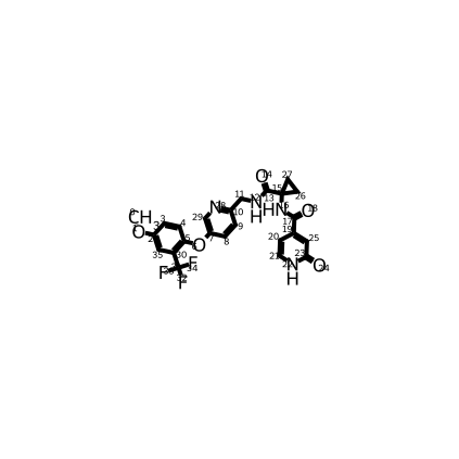 COc1ccc(Oc2ccc(CNC(=O)C3(NC(=O)c4cc[nH]c(=O)c4)CC3)nc2)c(C(F)(F)F)c1